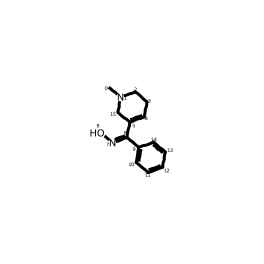 CN1CCC=C(/C(=N\O)c2ccccc2)C1